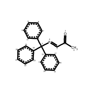 CC(=O)/C=P/C(c1ccccc1)(c1ccccc1)c1ccccc1